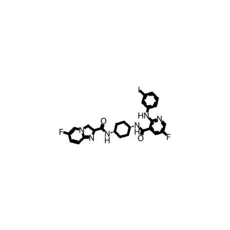 O=C(N[C@H]1CC[C@@H](NC(=O)C2CN3C=C(F)C=CC3=N2)CC1)c1cc(F)cnc1Nc1cccc(I)c1